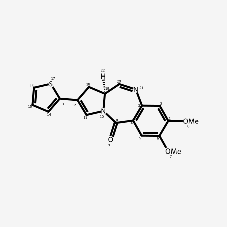 COc1cc2c(cc1OC)C(=O)N1C=C(c3cccs3)C[C@H]1C=N2